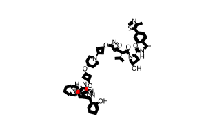 Cc1ncsc1-c1ccc([C@H](C)NC(=O)[C@@H]2C[C@@H](O)CN2C(=O)[C@@H](c2cc(O[C@H]3C[C@H](N4CCC(O[C@H]5C[C@H](Oc6cc(N7C8CCC7CN(c7cc(-c9ccccc9O)nnc7N)C8)ccn6)C5)CC4)C3)no2)C(C)C)cc1